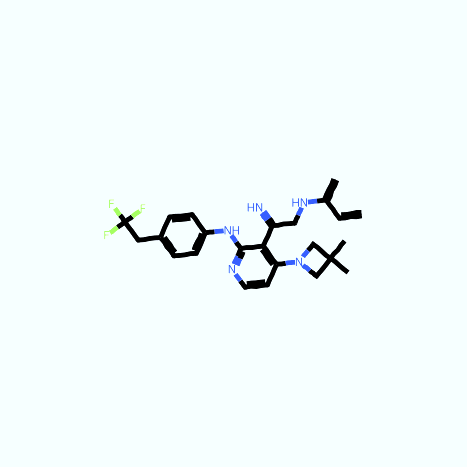 C=CC(=C)NCC(=N)c1c(N2CC(C)(C)C2)ccnc1Nc1ccc(CC(F)(F)F)cc1